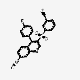 [C-]#[N+]c1ccc2c(-c3ccc(F)cc3)c(S(=O)(=O)c3cccc(C#N)c3)cnc2c1